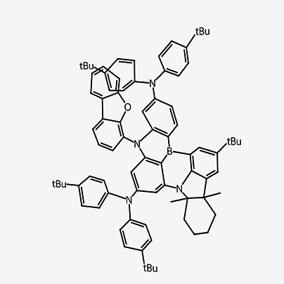 CC(C)(C)c1ccc(N(c2ccc(C(C)(C)C)cc2)c2ccc3c(c2)N(c2cccc4c2oc2ccccc24)c2cc(N(c4ccc(C(C)(C)C)cc4)c4ccc(C(C)(C)C)cc4)cc4c2B3c2cc(C(C)(C)C)cc3c2N4C2(C)CCCCC32C)cc1